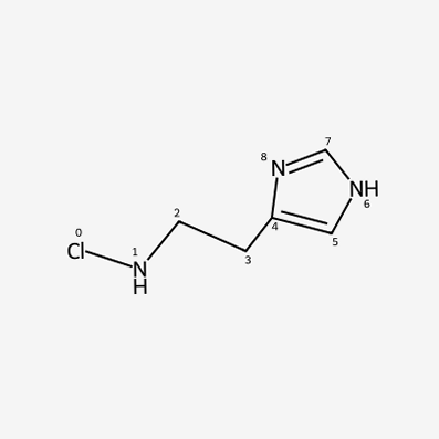 ClNCCc1c[nH]cn1